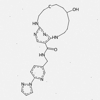 O=C(NCc1ccc(-n2cccn2)nc1)c1cnc2nc1NCCCC(O)CCCCCN2